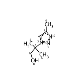 Cc1cn(C(C)(C)CO)nn1